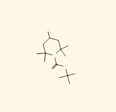 CCC(C)(C)OC(=O)N1C(C)(C)CC(O)CC1(C)C